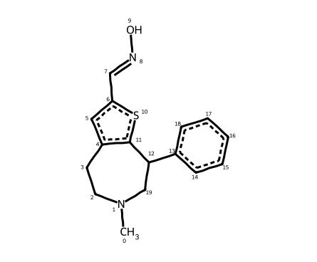 CN1CCc2cc(C=NO)sc2C(c2ccccc2)C1